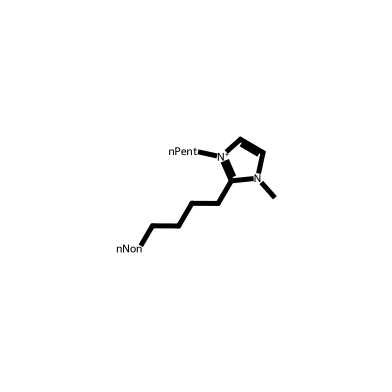 CCCCCCCCCCCCCc1n(C)cc[n+]1CCCCC